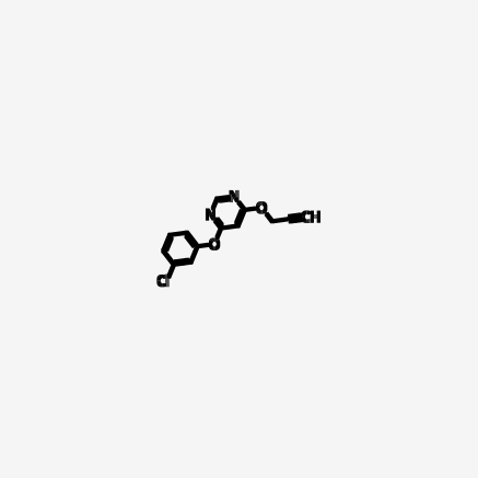 C#CCOc1cc(Oc2cccc(Cl)c2)ncn1